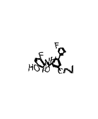 N#Cc1cc(C(=O)Nc2c(F)ccc(O)c2F)cc(-c2cccc(F)c2)c1